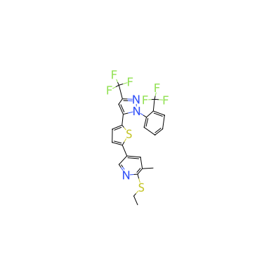 CCSc1ncc(-c2ccc(-c3cc(C(F)(F)F)nn3-c3ccccc3C(F)(F)F)s2)cc1C